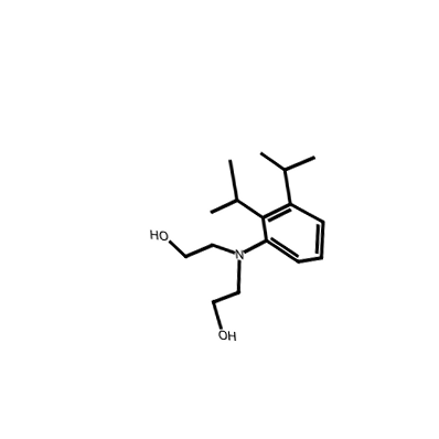 CC(C)c1cccc(N(CCO)CCO)c1C(C)C